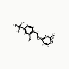 Fc1cc(C(F)(F)F)ccc1COc1ccnc(Cl)n1